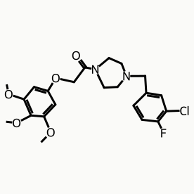 COc1cc(OCC(=O)N2CCN(Cc3ccc(F)c(Cl)c3)CC2)cc(OC)c1OC